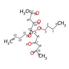 CCCC[O][Zr]([CH2]C(=O)CC(C)=O)([CH2]C(=O)CC(C)=O)[O]CCCC